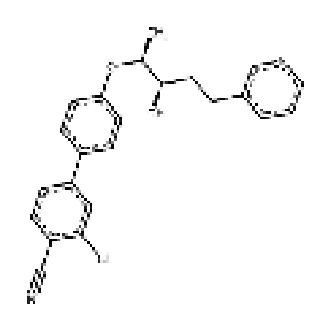 C[C@H](Oc1ccc(-c2ccc(C#N)c(Cl)c2)cc1)[C@H](O)CCc1cccnc1